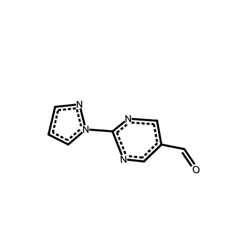 O=Cc1cnc(-n2cccn2)nc1